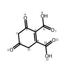 O=C1CC(=O)C(C(=O)O)=C(C(=O)O)C1